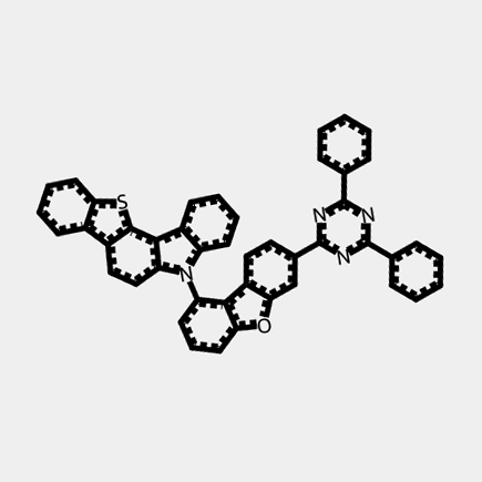 c1ccc(-c2nc(-c3ccccc3)nc(-c3ccc4c(c3)oc3cccc(-n5c6ccccc6c6c7sc8ccccc8c7ccc65)c34)n2)cc1